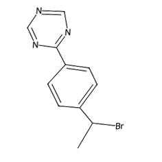 CC(Br)c1ccc(-c2ncncn2)cc1